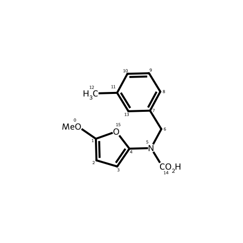 COc1ccc(N(Cc2cccc(C)c2)C(=O)O)o1